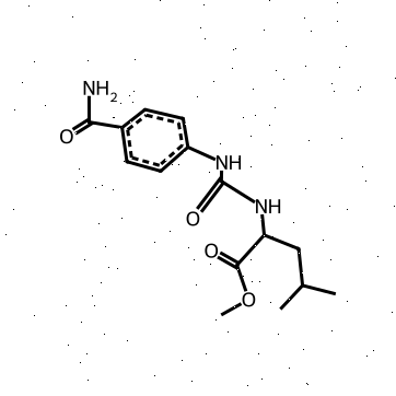 COC(=O)C(CC(C)C)NC(=O)Nc1ccc(C(N)=O)cc1